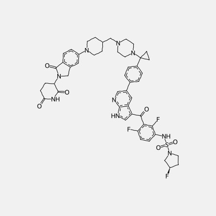 O=C1CCC(N2Cc3cc(N4CCC(CN5CCN(C6(c7ccc(-c8cnc9[nH]cc(C(=O)c%10c(F)ccc(NS(=O)(=O)N%11CC[C@@H](F)C%11)c%10F)c9c8)cc7)CC6)CC5)CC4)ccc3C2=O)C(=O)N1